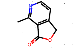 Cc1nccc2c1C(=O)OC2